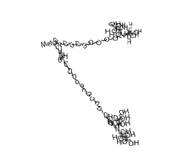 CNC(CCCNC(=O)CCOCCOCCOCCOCCOCCOCCOCCOCCOCCOCCOCCOCCN(C[C@H](O)[C@@H](O)[C@H](O)[C@H](O)CO)C[C@H](O)[C@@H](O)[C@H](O)[C@H](O)CO)C(=O)NCCOCCOCCOCCOCCOCCOCCOCCOCCN(C[C@H](O)[C@@H](O)[C@H](O)[C@H](O)CO)C[C@H](O)[C@@H](O)[C@H](O)[C@H](O)CO